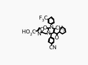 CC1=C(C(=O)C2CCCCC2)C(c2ccc(C#N)cc2)N(Cc2nc(C(=O)O)co2)C(=O)N1c1cccc(C(F)(F)F)c1